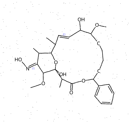 COC1CCCCC(c2ccccc2)OC(=O)C(C)C2(O)OC(C(C)/C=C/C1O)C(C)/C(=N\O)C2OC